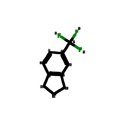 FC(F)(F)c1ccc2c(c1)C[C]C2